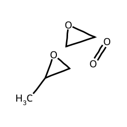 C1CO1.CC1CO1.O=O